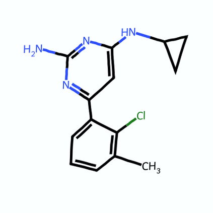 Cc1cccc(-c2cc(NC3CC3)nc(N)n2)c1Cl